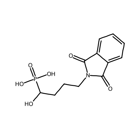 O=C1c2ccccc2C(=O)N1CCCC(O)P(=O)(O)O